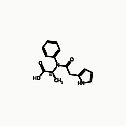 C[C@@H](C(=O)O)N(C(=O)Cc1ccc[nH]1)c1ccccc1